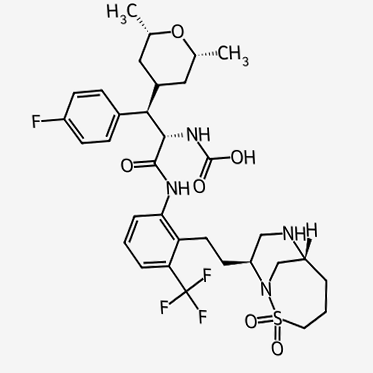 C[C@@H]1CC([C@H](c2ccc(F)cc2)[C@H](NC(=O)O)C(=O)Nc2cccc(C(F)(F)F)c2CC[C@H]2CN[C@@H]3CCCS(=O)(=O)N2C3)C[C@H](C)O1